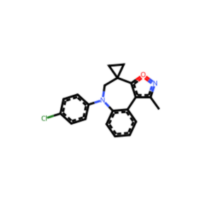 Cc1noc2c1-c1ccccc1N(c1ccc(Cl)cc1)CC21CC1